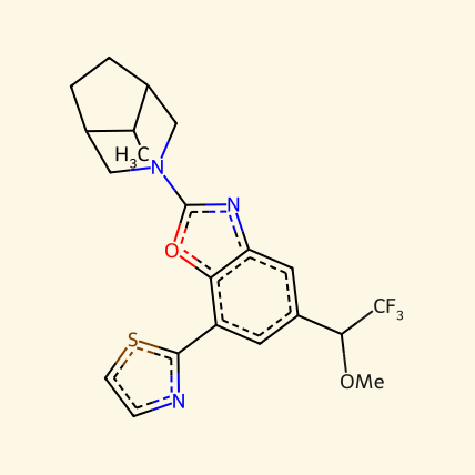 COC(c1cc(-c2nccs2)c2oc(N3CC4CCC(C3)C4C)nc2c1)C(F)(F)F